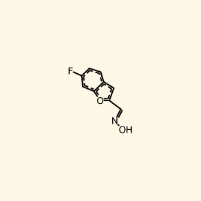 O/N=C/c1cc2ccc(F)cc2o1